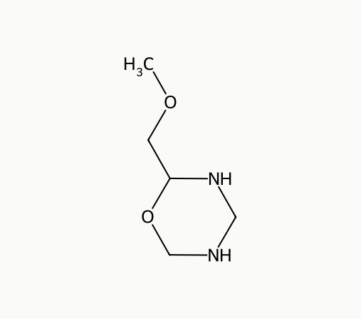 COCC1NCNCO1